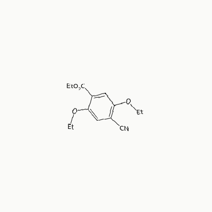 CCOC(=O)c1cc(OCC)c(C#N)cc1OCC